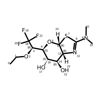 CCO[C@H]([C@H]1O[C@@H]2SC(N(C)C)=N[C@@H]2[C@@H](O)[C@@H]1O)C(F)(F)F